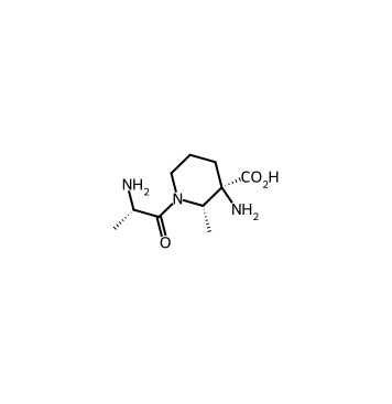 C[C@H](N)C(=O)N1CCC[C@](N)(C(=O)O)[C@@H]1C